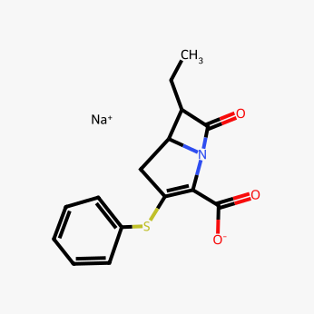 CCC1C(=O)N2C(C(=O)[O-])=C(Sc3ccccc3)CC12.[Na+]